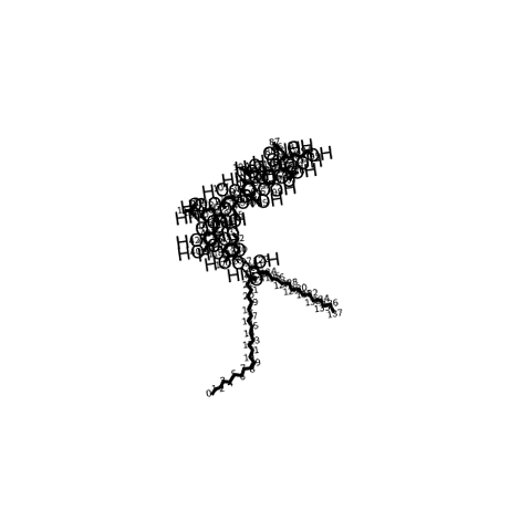 CCCCCCCC/C=C\CCCCCCCCCCCCCC(=O)N[C@@H](CO[C@@H]1OC(CO)[C@@H](O[C@@H]2OC(CO)[C@H](O)[C@H](O[C@@H]3OC(CO)[C@@H](O[C@@H]4OC(CO)[C@H](O)[C@H](O[C@H]5OC(CO)[C@@H](O[C@@H]6OC(CO)[C@H](O)[C@H](O[C@]7(C(=O)O)CC(O)[C@@H](NC(C)=O)C([C@H](O)[C@H](O)CO)O7)C6O)[C@H](O)C5NC(C)=O)C4O)[C@H](O)C3NC(C)=O)C2O)[C@H](O)C1O)[C@H](O)/C=C/CCCCCCCCCCCCC